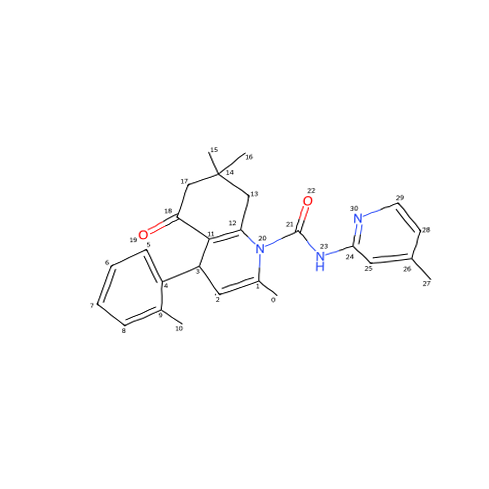 CC1=[C]C(c2ccccc2C)C2=C(CC(C)(C)CC2=O)N1C(=O)Nc1cc(C)ccn1